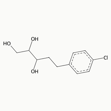 OCC(O)C(O)CCc1ccc(Cl)cc1